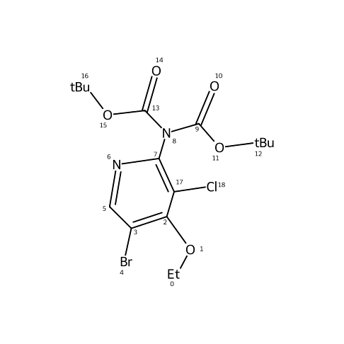 CCOc1c(Br)cnc(N(C(=O)OC(C)(C)C)C(=O)OC(C)(C)C)c1Cl